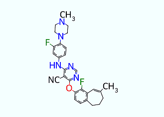 CC1=Cc2c(ccc(Oc3ncnc(Nc4ccc(N5CCN(C)CC5)c(F)c4)c3C#N)c2F)CCC1